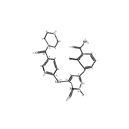 Cc1c(C(N)=O)cccc1-c1cc(Nc2ccc(C(=O)N3CCOCC3)cn2)c(=O)n(C)n1